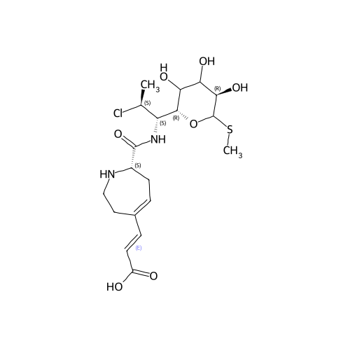 CSC1O[C@H]([C@H](NC(=O)[C@@H]2CC=C(/C=C/C(=O)O)CCN2)[C@H](C)Cl)C(O)C(O)[C@H]1O